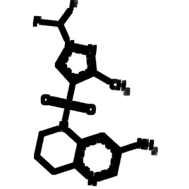 Cc1nn(C(F)F)cc1S(=O)(=O)N1CCCc2ncc(N)cc21